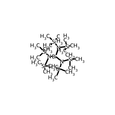 C[Si](C)(C)[N]([Bi]([N]([Si](C)(C)C)[Si](C)(C)C)[N]([Si](C)(C)C)[Si](C)(C)C)[Si](C)(C)C